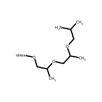 CCCCCCOCC(C)OCC(C)OCC(C)N